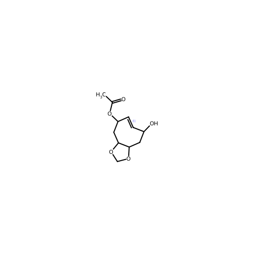 CC(=O)OC1/C=C/C(O)CC2OCOC2C1